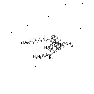 CCCCCCCCCCCCCCCCNCCC[C@@H](C)[C@H]1CC[C@@H](C)[C@]1(C)CC[C@H]1C[C@H](OCCCN)CC[C@]1(C)CC[C@H](CC)OCCCN